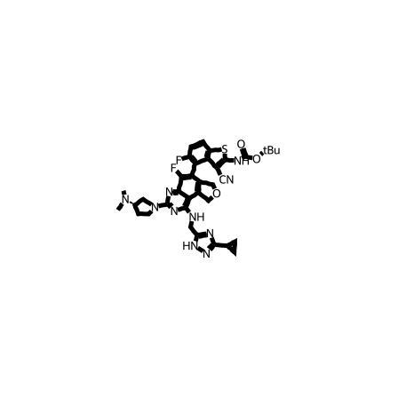 CN(C)[C@H]1CCN(c2nc(NCc3nc(C4CC4)n[nH]3)c3c4c(c(-c5c(F)ccc6sc(NC(=O)OC(C)(C)C)c(C#N)c56)c(F)c3n2)COC4)C1